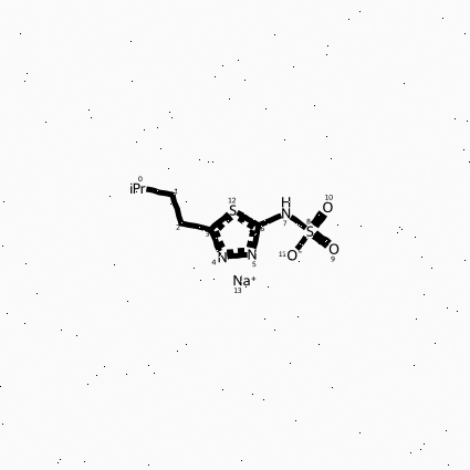 CC(C)CCc1nnc(NS(=O)(=O)[O-])s1.[Na+]